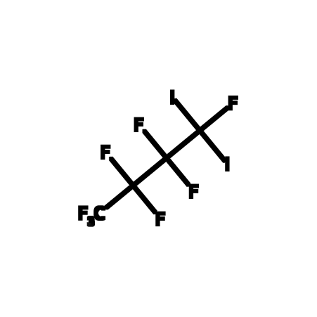 FC(F)(F)C(F)(F)C(F)(F)C(F)(I)I